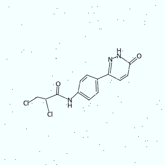 O=C(Nc1ccc(-c2ccc(=O)[nH]n2)cc1)C(Cl)CCl